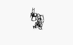 CCOC(=O)NC(=O)C(C#N)=NNc1cc(Cl)c(Oc2ccc3[nH]nc(C)c3c2)c(Cl)c1